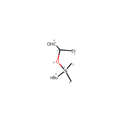 CCCC[Si](C)(C)OC(C=O)CC